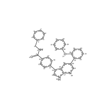 O=C(NCc1ccccc1)c1ccc(-c2c[nH]c3ncc(-c4ccccc4Oc4ccccc4)cc23)cc1